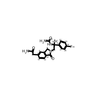 CC(=O)C(CN1Cc2cc(CC(N)=O)ccc2C1=O)(NC(N)=O)c1ccc(F)cc1